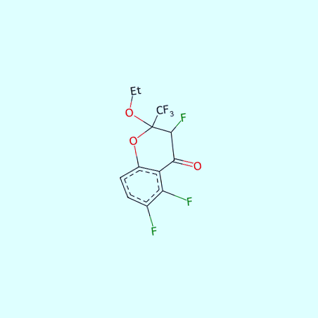 CCOC1(C(F)(F)F)Oc2ccc(F)c(F)c2C(=O)C1F